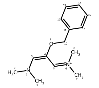 CN(C)/C=C(\C=[N+](C)C)OCc1ccccc1